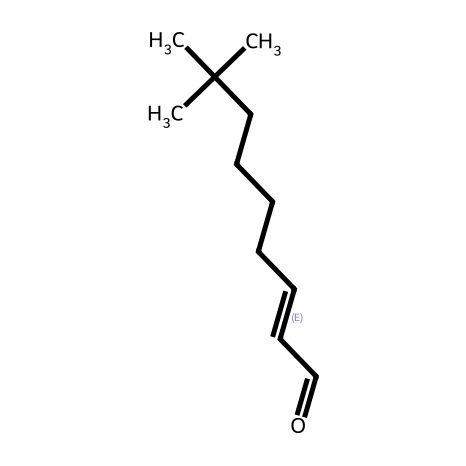 CC(C)(C)CCCC/C=C/C=O